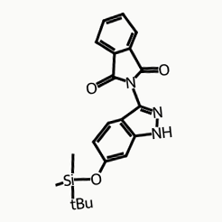 CC(C)(C)[Si](C)(C)Oc1ccc2c(N3C(=O)c4ccccc4C3=O)n[nH]c2c1